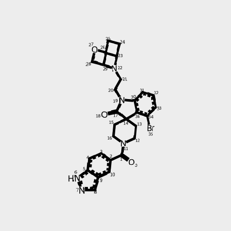 O=C(c1ccc2[nH]ncc2c1)N1CCC2(CC1)C(=O)N(CCN1C3CCC34OCC14)c1cccc(Br)c12